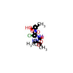 CCc1ccc(C(=O)O)c(N2Cc3c(Cl)ccc(Nc4c(N[C@@H](c5ccc(C)o5)C(C)(C)C)c(=O)c4=O)c3C2=O)c1